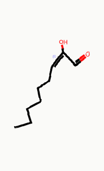 CCCCCC/C=C(/O)C=O